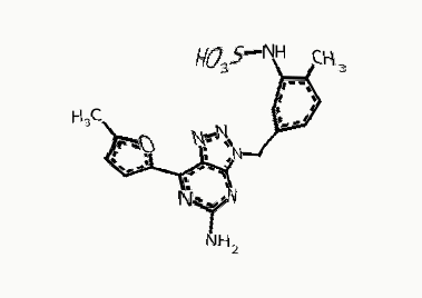 Cc1ccc(-c2nc(N)nc3c2nnn3Cc2ccc(C)c(NS(=O)(=O)O)c2)o1